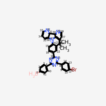 Bc1ccc(-c2nc(-c3ccc(Br)cc3)nc(-c3ccc4c(c3)C(C)(C)c3ccnc5c6ncccc6n-4c35)n2)cc1